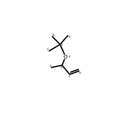 C=CC(C)OC(C)(C)C